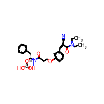 CCN(CC)C(=O)C(C#N)=Cc1cccc(OCCC(=O)N[C@@H](Cc2ccccc2)OB(O)O)c1